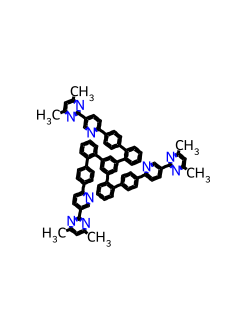 Cc1cc(C)nc(-c2ccc(-c3ccc(-c4ccccc4-c4cc(-c5ccccc5-c5ccc(-c6ccc(-c7nc(C)cc(C)n7)cn6)cc5)cc(-c5ccccc5-c5ccc(-c6ccc(-c7nc(C)cc(C)n7)cn6)cc5)c4)cc3)nc2)n1